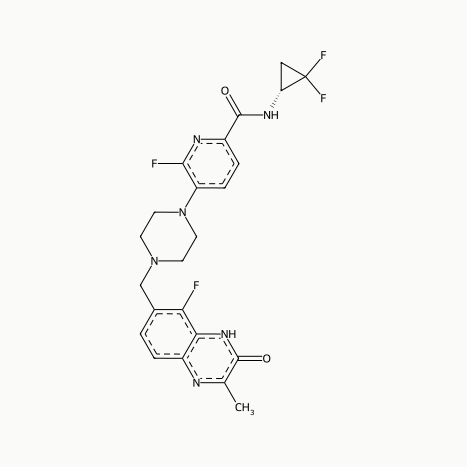 Cc1nc2ccc(CN3CCN(c4ccc(C(=O)N[C@@H]5CC5(F)F)nc4F)CC3)c(F)c2[nH]c1=O